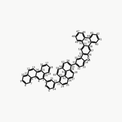 c1cc(-c2cc3c4ccccc4ccc3c3ccccc23)cc(-c2ccc3ccc4c(-c5ccc6sc7cc8c9ccccc9c9ccccc9c8cc7c6c5)ccc5ccc2c3c54)c1